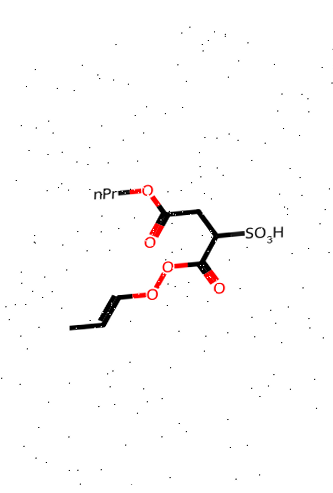 CC=COOC(=O)C(CC(=O)OCCC)S(=O)(=O)O